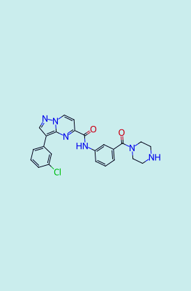 O=C(Nc1cccc(C(=O)N2CCNCC2)c1)c1ccn2ncc(-c3cccc(Cl)c3)c2n1